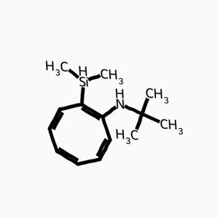 C[SiH](C)C1=C(NC(C)(C)C)C=CC=CC=C1